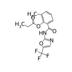 CCC(=O)Oc1c(C)cccc1C(=O)Nc1ncc(C(F)(F)F)o1